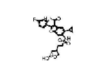 NC(=O)c1c(-c2ccc(F)cc2)oc2cc(NS(=O)(=O)CCC3COB(O)C3)c(C3CC3)cc12